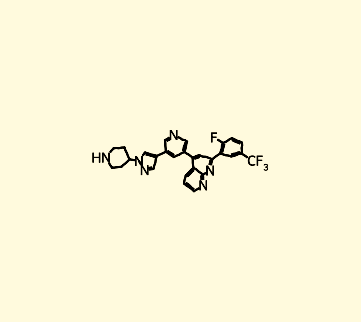 Fc1ccc(C(F)(F)F)cc1-c1cc(-c2cncc(-c3cnn(C4CCNCC4)c3)c2)c2cccnc2n1